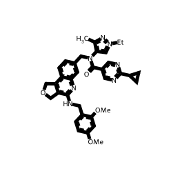 CCn1cc(N(Cc2ccc3c4c(c(NCc5ccc(OC)cc5OC)nc3c2)COC4)C(=O)c2cnc(C3CC3)nc2)c(C)n1